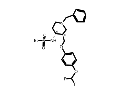 CCS(=O)(=O)N[C@@H]1CCN(Cc2ccccc2)C[C@H]1COc1ccc(OC(F)F)cc1